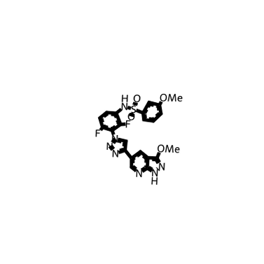 COc1cccc(S(=O)(=O)Nc2ccc(F)c(-n3cc(-c4cnc5[nH]nc(OC)c5c4)nn3)c2F)c1